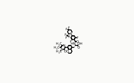 Cc1nc(-c2ccc(C[C@H](NC(=O)c3c(F)cc(N4CCC(F)(F)C[C@@H]4C(F)(F)F)cc3F)C(=O)O)c3c2OCCC3)c(=O)n(C)c1C